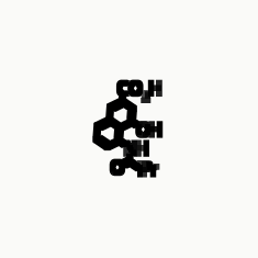 CC(C)C(=O)Nc1cccc2cc(C(=O)O)cc(O)c12